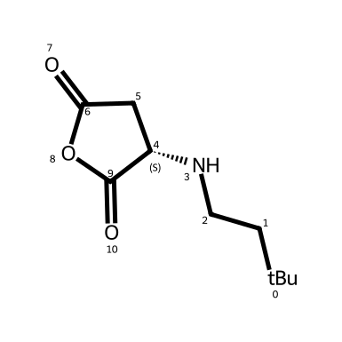 CC(C)(C)CCN[C@H]1CC(=O)OC1=O